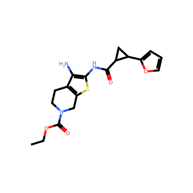 CCOC(=O)N1CCc2c(sc(NC(=O)C3CC3c3ccco3)c2N)C1